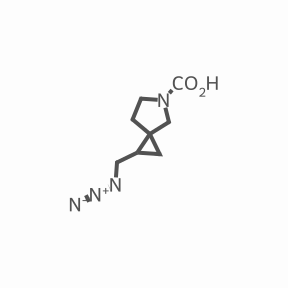 [N-]=[N+]=NCC1CC12CCN(C(=O)O)C2